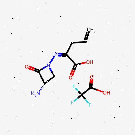 C=CCC(=NN1C[C@H](N)C1=O)C(=O)O.O=C(O)C(F)(F)F